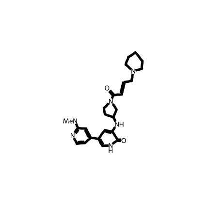 CNc1cc(-c2c[nH]c(=O)c(NC3CCN(C(=O)/C=C/CN4CCCCC4)C3)c2)ccn1